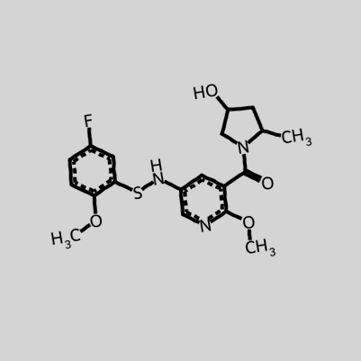 COc1ccc(F)cc1SNc1cnc(OC)c(C(=O)N2CC(O)CC2C)c1